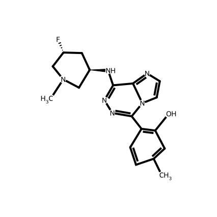 Cc1ccc(-c2nnc(N[C@@H]3C[C@@H](F)CN(C)C3)c3nccn23)c(O)c1